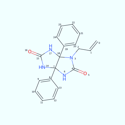 C=CCN1C(=O)NC2(c3ccccc3)NC(=O)NC12c1ccccc1